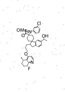 COC(=O)C1(Nc2cccc(Cl)c2)CCC2(CC1)c1cc(C(C)O)ccc1CC2C[C@@H](C)COc1ccnc2c1[C@H](C)CC[C@H]2F